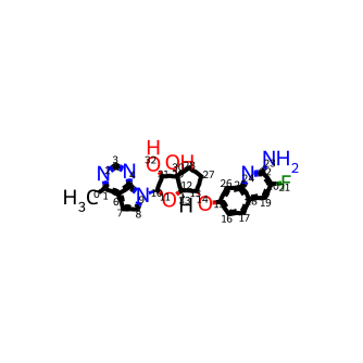 Cc1ncnc2c1ccn2[C@@H]1O[C@@H]2[C@@H](Oc3ccc4cc(F)c(N)nc4c3)CC[C@]2(O)C1O